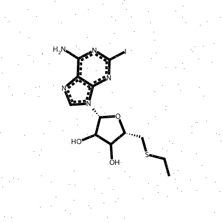 CCSC[C@H]1O[C@@H](n2cnc3c(N)nc(I)nc32)C(O)C1O